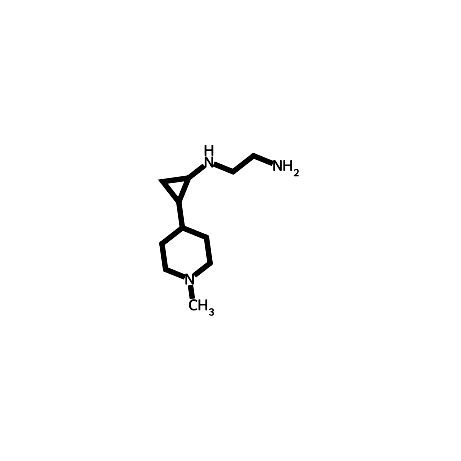 CN1CCC(C2CC2NCCN)CC1